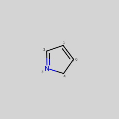 [C]1=CC=NC1